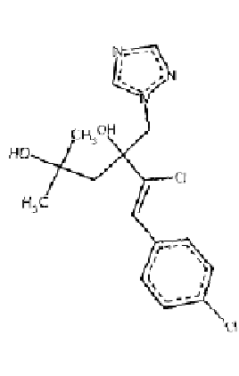 CC(C)(O)CC(O)(Cn1cncn1)C(Cl)=Cc1ccc(Cl)cc1